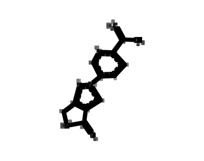 C=C(C)c1ccc(-n2cc3c(n2)CNC3=O)cn1